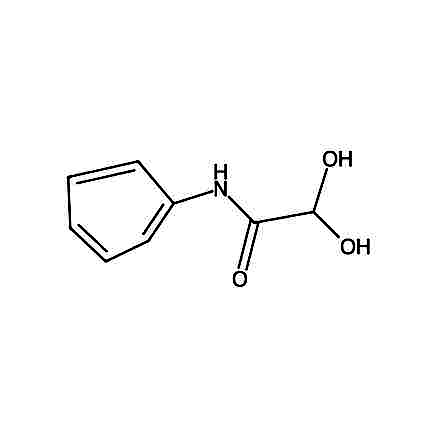 O=C(Nc1ccccc1)C(O)O